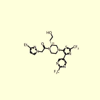 CCc1ccn(CC(=O)N2CCN(c3sc(C(F)(F)F)nc3-c3cnc(C(F)(F)F)nc3)C[C@H]2CCO)n1